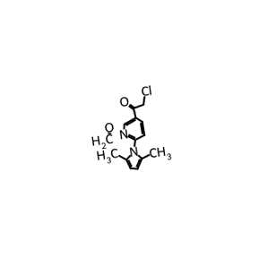 C=O.Cc1ccc(C)n1-c1ccc(C(=O)CCl)cn1